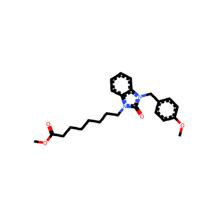 COC(=O)CCCCCCCn1c(=O)n(Cc2ccc(OC)cc2)c2ccccc21